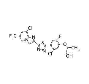 CC(CO)Oc1cc(Cl)c(-c2nnc(-c3cn4cc(C(F)(F)F)cc(Cl)c4n3)s2)cc1F